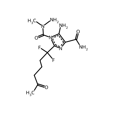 CC(=O)CCCC(F)(F)c1nc(C(N)=O)c(N)n1C(=O)N(C)N